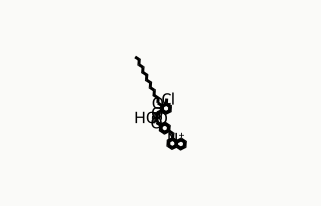 CCCCCCCCCCCCOc1c(Cl)cccc1OP(=O)(O)Oc1ccc(C[n+]2cccc3ccccc32)cc1